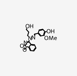 COc1cc(C=NN(CCCO)C2=NS(=O)(=O)c3ccccc32)ccc1O